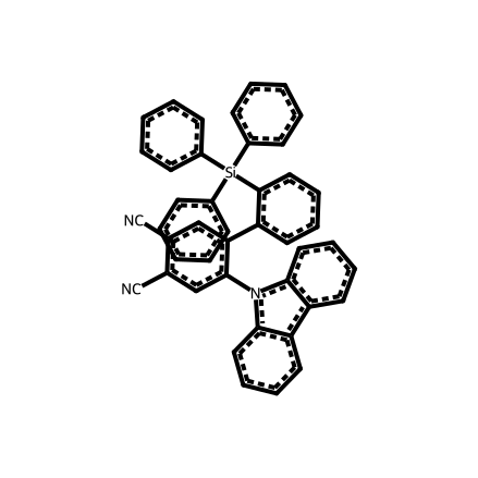 N#Cc1cc(-c2ccccc2[Si](c2ccccc2)(c2ccccc2)c2ccccc2)c(-n2c3ccccc3c3ccccc32)cc1C#N